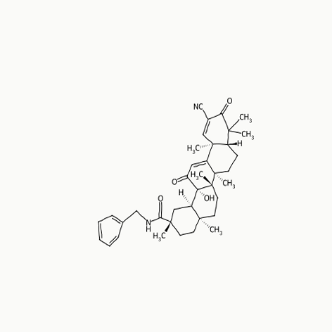 CC1(C)C(=O)C(C#N)=C[C@]2(C)C3=CC(=O)[C@]4(O)[C@@H]5C[C@@](C)(C(=O)NCc6ccccc6)CC[C@]5(C)CC[C@@]4(C)[C@]3(C)CC[C@@H]12